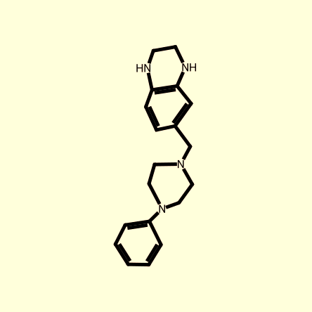 c1ccc(N2CCN(Cc3ccc4c(c3)NCCN4)CC2)cc1